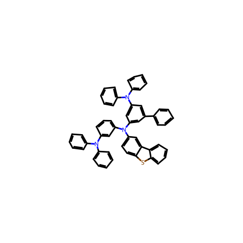 c1ccc(-c2cc(N(c3ccccc3)c3ccccc3)cc(N(c3cccc(N(c4ccccc4)c4ccccc4)c3)c3ccc4sc5ccccc5c4c3)c2)cc1